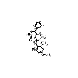 CSc1ccc(Nc2c3c(cc(=O)n2C)C(c2ccccc2)CNC3=O)c(F)c1